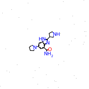 NC(=O)c1cc(N2CCCC2)cc2[nH]c(C3CCNC3)nc12